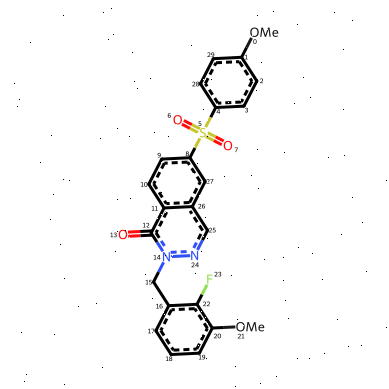 COc1ccc(S(=O)(=O)c2ccc3c(=O)n(Cc4cccc(OC)c4F)ncc3c2)cc1